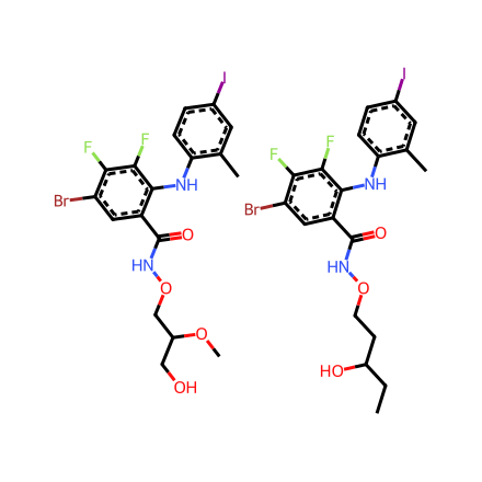 CCC(O)CCONC(=O)c1cc(Br)c(F)c(F)c1Nc1ccc(I)cc1C.COC(CO)CONC(=O)c1cc(Br)c(F)c(F)c1Nc1ccc(I)cc1C